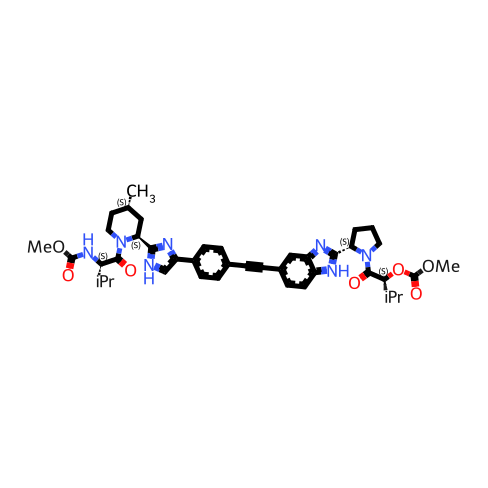 COC(=O)N[C@H](C(=O)N1CC[C@H](C)C[C@H]1c1nc(-c2ccc(C#Cc3ccc4[nH]c([C@@H]5CCCN5C(=O)[C@@H](OC(=O)OC)C(C)C)nc4c3)cc2)c[nH]1)C(C)C